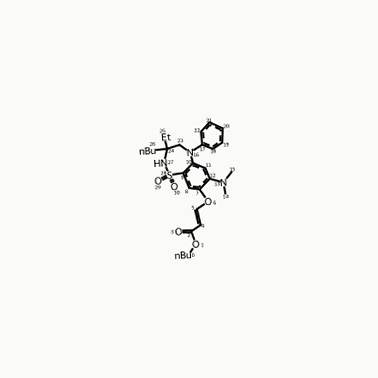 CCCCOC(=O)/C=C/Oc1cc2c(cc1N(C)C)N(c1ccccc1)CC(CC)(CCCC)NS2(=O)=O